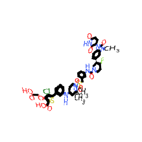 Cn1c(=O)n(C2CCC(=O)NC2=O)c2ccc([C@H]3CN(C(=O)Nc4cccc(CS(=O)(=O)N5CC[C@H](Nc6cccc(-c7sc(C(=O)O)c(OCC(=O)O)c7Cl)c6)CC5(C)C)c4)CC[C@@H]3F)cc21